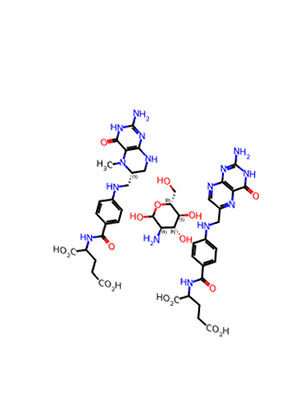 CN1c2c(nc(N)[nH]c2=O)NC[C@@H]1CNc1ccc(C(=O)NC(CCC(=O)O)C(=O)O)cc1.N[C@H]1C(O)O[C@H](CO)[C@@H](O)[C@@H]1O.Nc1nc2ncc(CNc3ccc(C(=O)NC(CCC(=O)O)C(=O)O)cc3)nc2c(=O)[nH]1